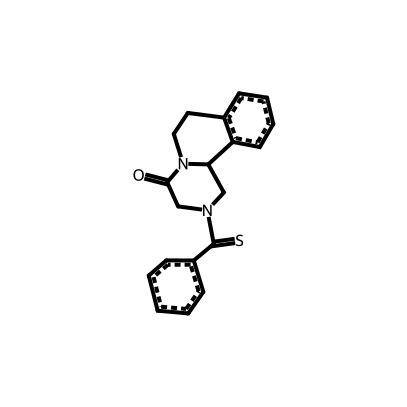 O=C1CN(C(=S)c2ccccc2)CC2c3ccccc3CCN12